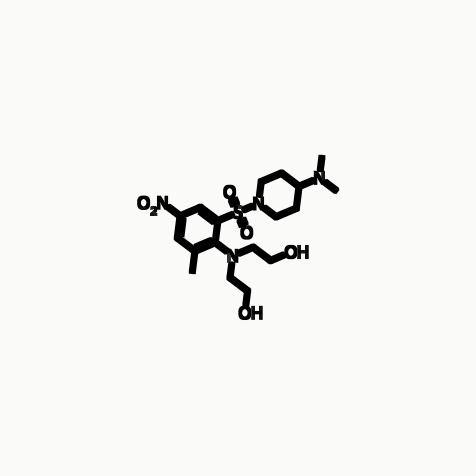 Cc1cc([N+](=O)[O-])cc(S(=O)(=O)N2CCC(N(C)C)CC2)c1N(CCO)CCO